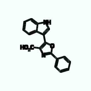 O=C(O)c1nc(-c2ccccc2)oc1-c1c[nH]c2ccccc12